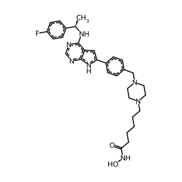 C[C@@H](Nc1ncnc2[nH]c(-c3ccc(CN4CCN(CCCCCC(=O)NO)CC4)cc3)cc12)c1ccc(F)cc1